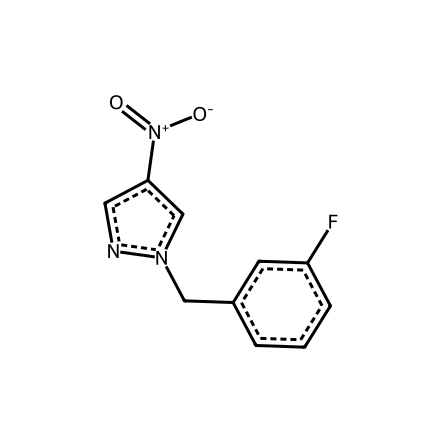 O=[N+]([O-])c1cnn(Cc2cccc(F)c2)c1